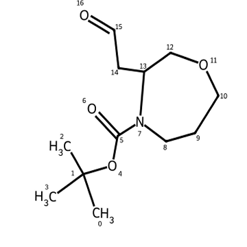 CC(C)(C)OC(=O)N1CCCOCC1CC=O